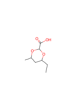 CCC1CC(C)OC(C(=O)O)O1